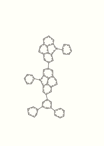 c1ccc(-c2cc(-c3ccccc3)cc(-c3cc4ccc5cc(-c6cc7ccc8cccc9c8c7c(c6)n9-c6ccccc6)cc6c5c4c(c3)n6-c3ccccc3)c2)cc1